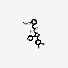 COc1ccccc1CC(=O)Nc1onc(-c2ccc(F)c(Br)c2)c1-c1ccncc1